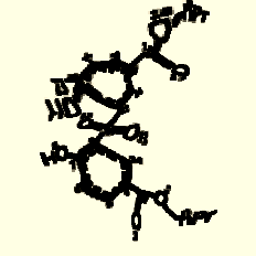 CCCOC(=O)c1ccc(O)c(S(=O)(=O)c2cc(C(=O)OCCC)ccc2O)c1